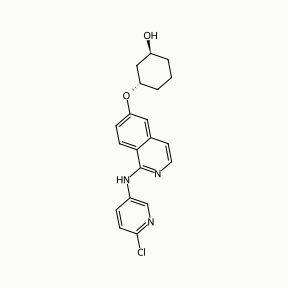 O[C@H]1CCC[C@H](Oc2ccc3c(Nc4ccc(Cl)nc4)nccc3c2)C1